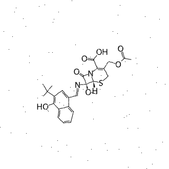 CO[C@@]1(/N=C/c2cc(C(C)(C)C)c(O)c3ccccc23)C(=O)N2C(C(=O)O)=C(COC(C)=O)CS[C@@H]21